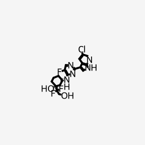 OCC(F)(F)[C@]1(O)CCC[C@H](Nc2nc(-c3c[nH]c4ncc(Cl)cc34)ncc2F)C1